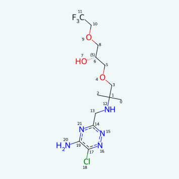 CC(C)(COC[C@H](O)COCC(F)(F)F)NCc1nnc(Cl)c(N)n1